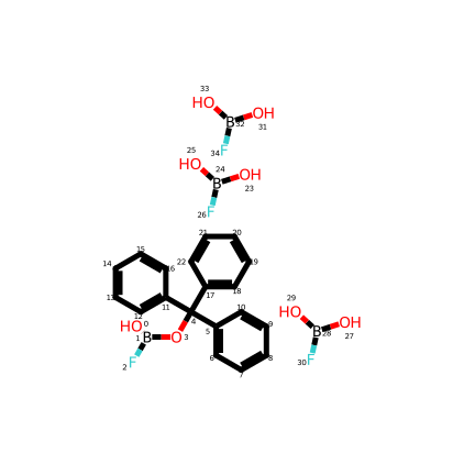 OB(F)OC(c1ccccc1)(c1ccccc1)c1ccccc1.OB(O)F.OB(O)F.OB(O)F